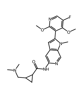 COc1ncc(F)c(OC)c1-c1cc2cc(NC(=O)C3CC3CN(C)C)ncc2n1C